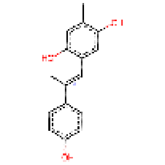 C/C(=C\c1cc(O)c(C)cc1O)c1ccc(O)cc1